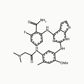 COc1cc(C)c(NC(=O)CN(C)C)cc1Nc1nc(Nc2cccc(F)c2C(N)=O)c2ccnc-2[nH]1